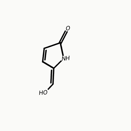 O=C1C=C/C(=C\O)N1